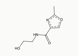 Cc1nc(C(=O)NCCO)co1